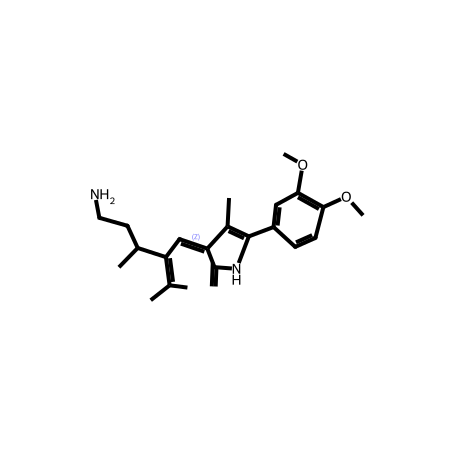 C=c1[nH]c(-c2ccc(OC)c(OC)c2)c(C)/c1=C/C(=C(C)C)C(C)CCN